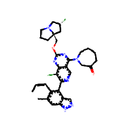 C/C=C\c1c(C)cc2[nH]ncc2c1-c1ncc2c(N3CCCCC(=O)C3)nc(OC[C@@]34CCCN3C[C@H](F)C4)nc2c1F